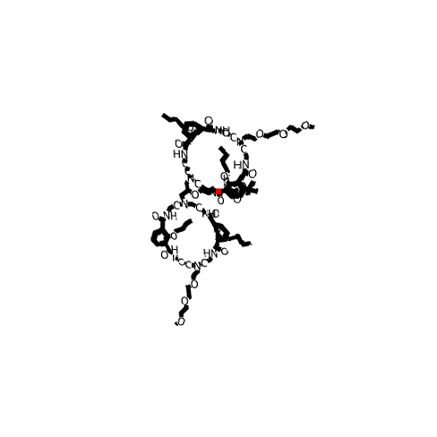 CCCCOc1c2cccc1C(=O)NCCN(CC(CN1CCNC(=O)c3cccc(c3OCCCC)C(=O)NCCN(CCOCCOCCOC)CCNC(=O)c3cccc(c3OCCCC)C(=O)NCC1)OCCCCNC(=O)OC(C)(C)C)CCNC(=O)c1cccc(c1OCCCC)C(=O)NCCN(CCOCCOCCOC)CCNC2=O